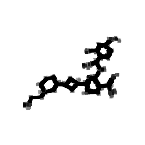 Cc1ccc(C(C)Nc2nc(N3CC(C4CCCN(CCO)C4)C3)ncc2C(=O)O)c(Cl)c1